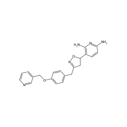 Nc1ccc(C2CC(Cc3ccc(OCc4cccnc4)cc3)=NO2)c(N)n1